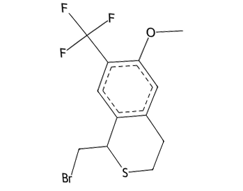 COc1cc2c(cc1C(F)(F)F)C(CBr)SCC2